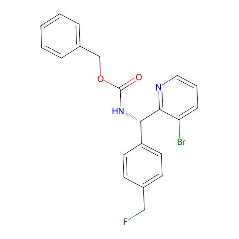 O=C(N[C@@H](c1ccc(CF)cc1)c1ncccc1Br)OCc1ccccc1